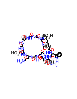 CCC(C)CCCCCCCCC(=O)NC(Cc1c[nH]c2ccccc12)C(=O)NC(CC(N)=O)C(=O)NC(CC(=O)O)C(=O)NC1C(=O)NCC(=O)NC(CCCN)C(=O)NC(CC(=O)O)C(=O)NC(C)C(=O)NC(CC(=O)O)C(=O)NCC(=O)NC(C)C(=O)NC(C(C)CC(=O)O)C(=O)NC(C(C)CC)C(=O)OC1C